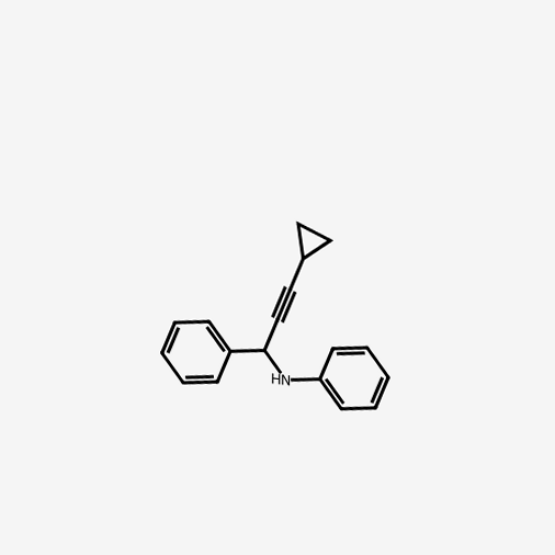 C(#CC(Nc1ccccc1)c1ccccc1)C1CC1